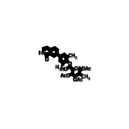 CC(=O)OCC(C)C(OC(C)=O)C(OC(C)=O)C(OC(C)=O)C(O)Oc1c(C)cc(-c2ccc3cc[nH]c(=O)c3c2)cc1C